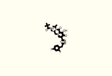 CC(C)N1C(=O)c2c(O)c(=O)c(-c3nnc(Cc4ccc(F)cc4F)s3)cn2C[C@H]1CNC(=O)C(C)(C)C